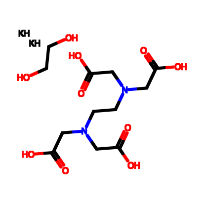 O=C(O)CN(CCN(CC(=O)O)CC(=O)O)CC(=O)O.OCCO.[KH].[KH]